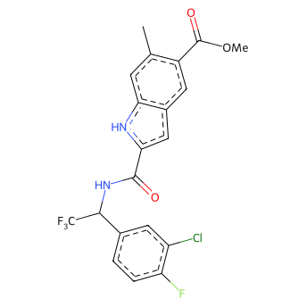 COC(=O)c1cc2cc(C(=O)NC(c3ccc(F)c(Cl)c3)C(F)(F)F)[nH]c2cc1C